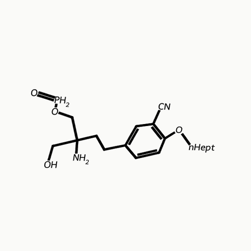 CCCCCCCOc1ccc(CCC(N)(CO)CO[PH2]=O)cc1C#N